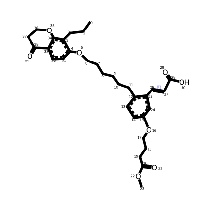 CCCc1c(OCCCCCCc2ccc(OCCCC(=O)OC)cc2/C=C/C(=O)O)ccc2c1OCCC2=O